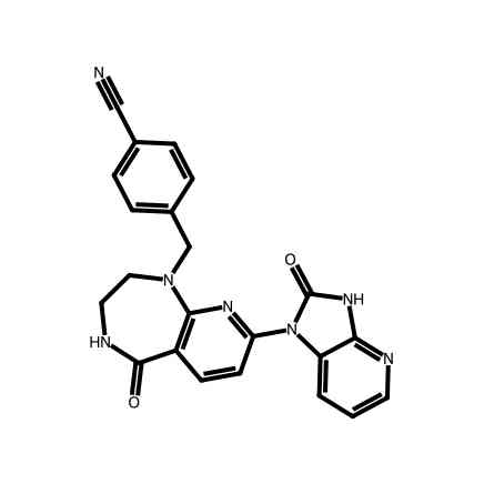 N#Cc1ccc(CN2CCNC(=O)c3ccc(-n4c(=O)[nH]c5ncccc54)nc32)cc1